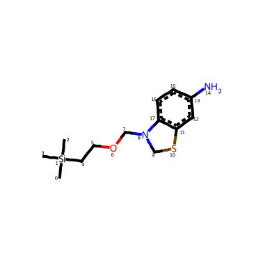 C[Si](C)(C)CCOCN1CSc2cc(N)ccc21